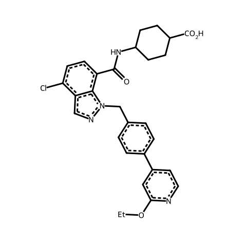 CCOc1cc(-c2ccc(Cn3ncc4c(Cl)ccc(C(=O)NC5CCC(C(=O)O)CC5)c43)cc2)ccn1